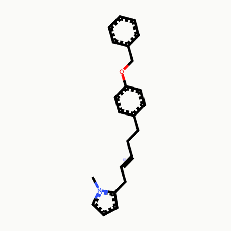 Cn1cccc1C/C=C/CCc1ccc(OCc2ccccc2)cc1